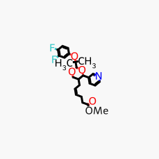 COC(=O)CC/C=C\CC1COC(C(C)(C)Oc2ccc(F)c(F)c2)OC1c1cccnc1